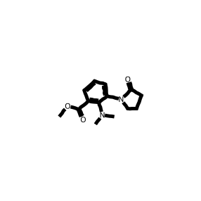 COC(=O)c1cccc(N2CCCC2=O)c1N(C)C